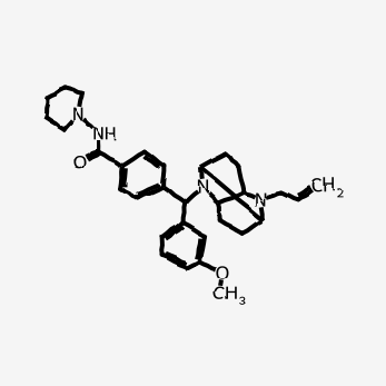 C=CCN1C2CCC3C1CCC2N3C(c1ccc(C(=O)NN2CCCCC2)cc1)c1cccc(OC)c1